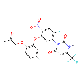 CC(=O)COc1ccc(F)cc1Oc1cc(-n2c(=O)cc(C(F)(F)F)n(C)c2=O)c(F)cc1[N+](=O)[O-]